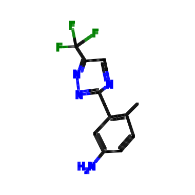 Cc1ccc(N)cc1-c1ncc(C(F)(F)F)nn1